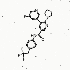 O=C(Nc1ccc(CC(F)(F)F)cc1)c1cnc(N2CCCC2)c(-c2cncc(F)c2)c1